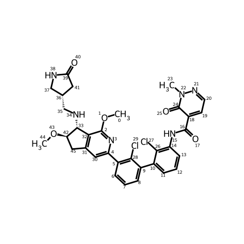 COc1nc(-c2cccc(-c3cccc(NC(=O)c4ccnn(C)c4=O)c3Cl)c2Cl)cc2c1[C@@H](NC[C@@H]1CNC(=O)C1)[C@H](OC)C2